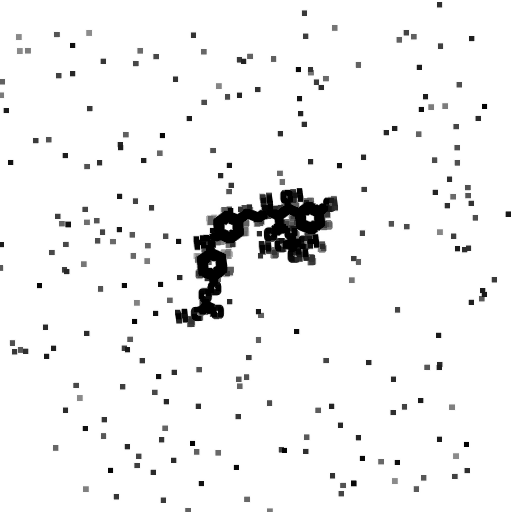 CC(=O)OOc1ccc(Nc2ccc(CCNC(C(=O)OC(C)(C)C)[C@H](O)c3cccc(Cl)c3)cc2)cc1